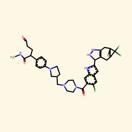 CNC(=O)C(CCC=O)c1ccc(N2CCC(CN3CCN(C(=O)c4cc5[nH]c(C6NNC7=C6CC6C(F)(F)C6(C)C7)cc5cc4F)CC3)C2)cc1